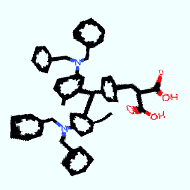 Cc1ccc(N(Cc2ccccc2)Cc2ccccc2)cc1C(c1ccc(CC(C(=O)O)C(=O)O)cc1)c1cc(N(Cc2ccccc2)Cc2ccccc2)ccc1C